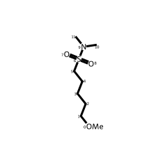 COCCCCCS(=O)(=O)N(C)C